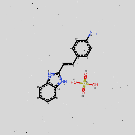 Nc1ccc(/C=C/c2nc3ccccc3[nH]2)cc1.O=S(=O)(O)O